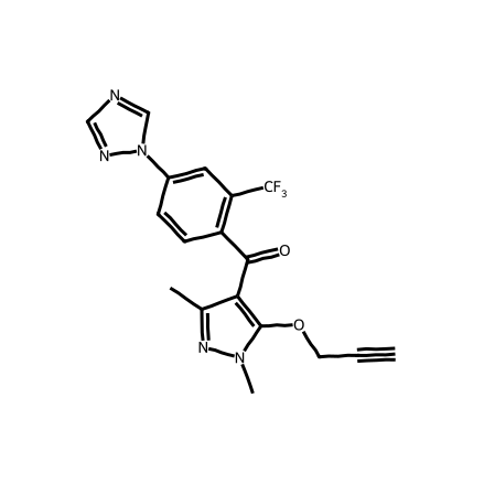 C#CCOc1c(C(=O)c2ccc(-n3cncn3)cc2C(F)(F)F)c(C)nn1C